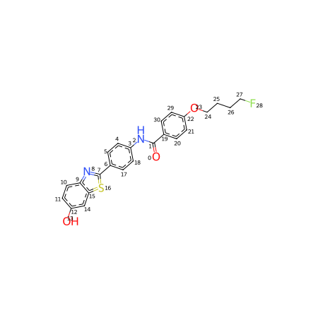 O=C(Nc1ccc(-c2nc3ccc(O)cc3s2)cc1)c1ccc(OCCCCF)cc1